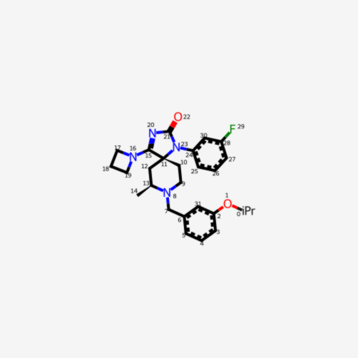 CC(C)Oc1cccc(CN2CC[C@@]3(C[C@@H]2C)C(N2CCC2)=NC(=O)N3c2cccc(F)c2)c1